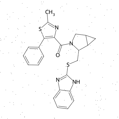 Cc1nc(C(=O)N2CC3CC3C2CSc2nc3ccccc3[nH]2)c(-c2ccccc2)s1